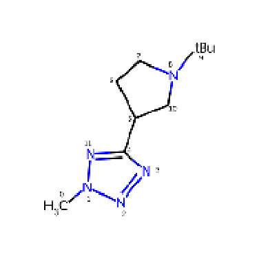 Cn1nnc(C2CCN(C(C)(C)C)C2)n1